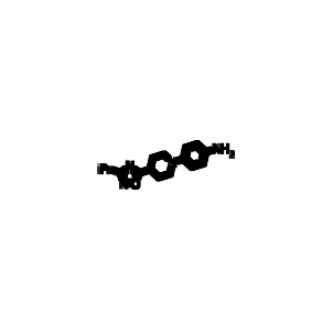 CC(C)c1noc(C2CCN(c3ccc(N)cc3)CC2)n1